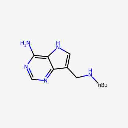 CCCCNCc1c[nH]c2c(N)ncnc12